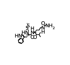 CSSCN[C@@H](Cc1c[nH]c2ccccc12)C(=O)N[C@@H](CCCNC(N)=O)C(=O)C(C)C